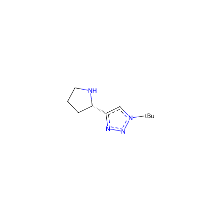 CC(C)(C)n1cc([C@@H]2CCCN2)nn1